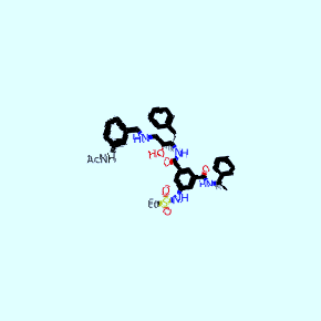 CCS(=O)(=O)Nc1cc(C(=O)N[C@@H](Cc2ccccc2)[C@H](O)CNCc2cccc(NC(C)=O)c2)cc(C(=O)N[C@H](C)c2ccccc2)c1